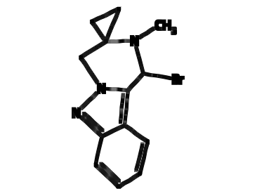 CN1C(Br)c2c3ccccc3nn2CC12CC2